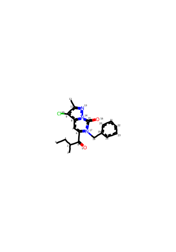 CCC(C)C(=O)c1cc2c(Cl)c(C)nn2c(=O)n1Cc1ccccc1